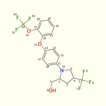 OCC1CC(C(F)(F)F)CN1c1ccc(Oc2ccccc2OC(F)(F)F)cc1